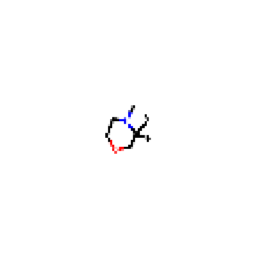 [2H]C1([2H])COCCN1C